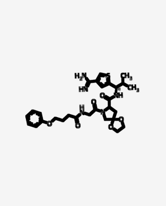 CC(C)[C@@H](NC(=O)C1CC2(CN1C(=O)CNC(=O)CCCOc1ccccc1)OCCO2)c1cc(C(=N)N)cs1